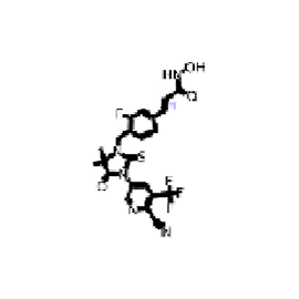 CC1(C)C(=O)N(c2cnc(C#N)c(C(F)(F)F)c2)C(=S)N1Cc1ccc(/C=C/C(=O)NO)cc1F